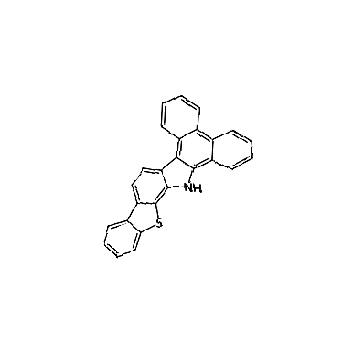 c1ccc2c(c1)sc1c2ccc2c1[nH]c1c3ccccc3c3ccccc3c21